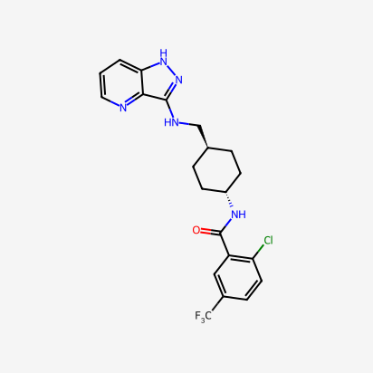 O=C(N[C@H]1CC[C@H](CNc2n[nH]c3cccnc23)CC1)c1cc(C(F)(F)F)ccc1Cl